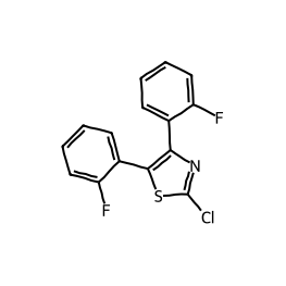 Fc1ccccc1-c1nc(Cl)sc1-c1ccccc1F